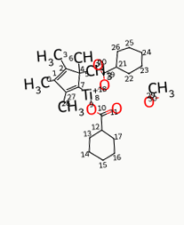 CC1=C(C)C(C)(C)[C]([Ti+]([O]C(=O)C2CCCCC2)[O]C(=O)C2CCCCC2)=C1C.C[O-]